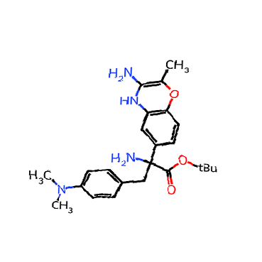 CC1=C(N)Nc2cc(C(N)(Cc3ccc(N(C)C)cc3)C(=O)OC(C)(C)C)ccc2O1